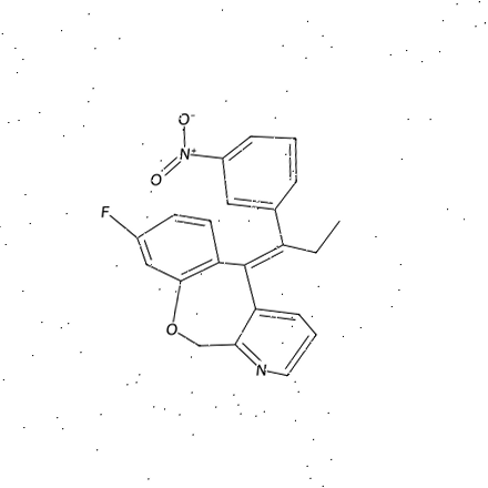 CCC(=C1c2ccc(F)cc2OCc2ncccc21)c1cccc([N+](=O)[O-])c1